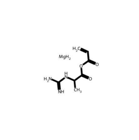 C=CC(=O)OC(=O)C(C)NC(=N)N.[MgH2]